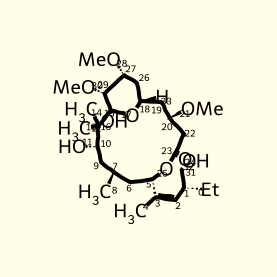 CC[C@H](/C=C(/C)[C@@H]1C[C@@H](C)C[C@H](O)C(C)(C)[C@@]2(O)O[C@@H](C[C@@H](OC)CC(=O)O1)C[C@@H](OC)[C@H]2OC)CO